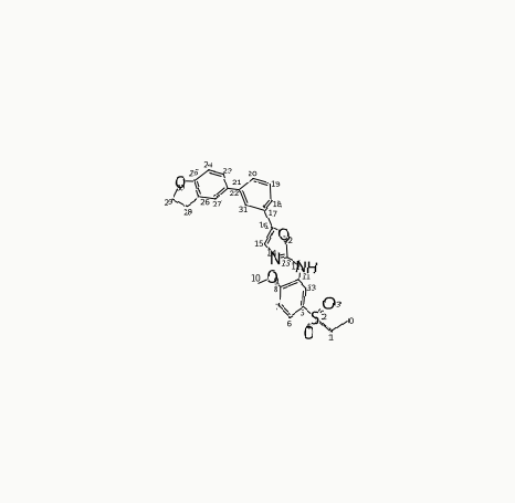 CCS(=O)(=O)c1ccc(OC)c(Nc2ncc(-c3cccc(-c4ccc5c(c4)CCO5)c3)o2)c1